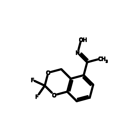 CC(=NO)c1cccc2c1COC(F)(F)O2